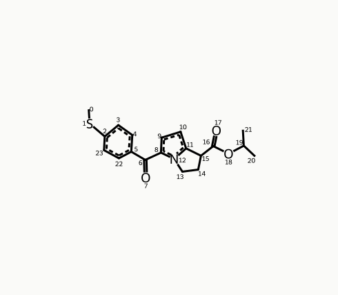 CSc1ccc(C(=O)c2ccc3n2CCC3C(=O)OC(C)C)cc1